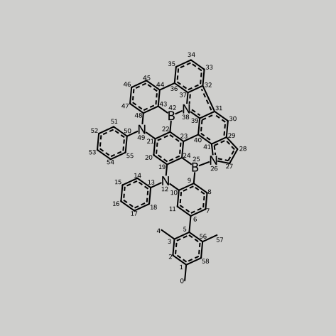 Cc1cc(C)c(-c2ccc3c(c2)N(c2ccccc2)c2cc4c5c6c2B3n2ccc3cc7c8cccc9c8n(c7c-6c32)B5c2c-9cccc2N4c2ccccc2)c(C)c1